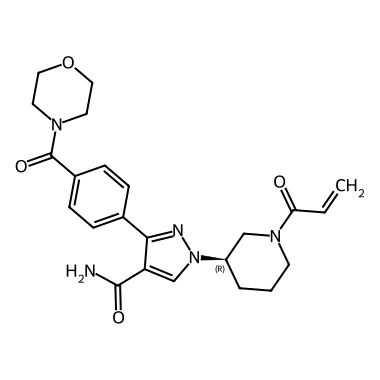 C=CC(=O)N1CCC[C@@H](n2cc(C(N)=O)c(-c3ccc(C(=O)N4CCOCC4)cc3)n2)C1